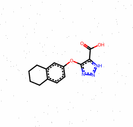 O=C(O)c1[nH]nnc1Oc1ccc2c(c1)CCCC2